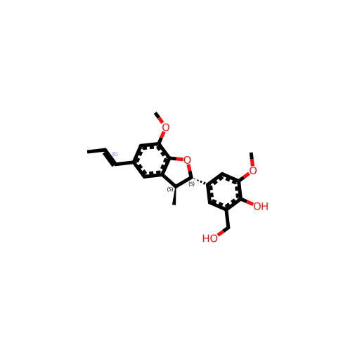 C/C=C/c1cc(OC)c2c(c1)[C@H](C)[C@@H](c1cc(CO)c(O)c(OC)c1)O2